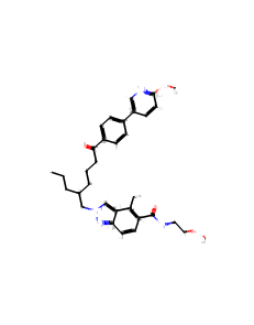 CCCC(CCCC(=O)c1ccc(-c2ccc(OC)nc2)cc1)Cn1cc2c(C)c(C(=O)NCCOC)ccc2n1